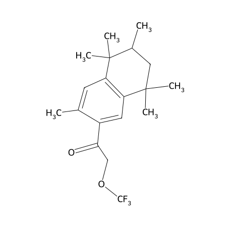 Cc1cc2c(cc1C(=O)COC(F)(F)F)C(C)(C)CC(C)C2(C)C